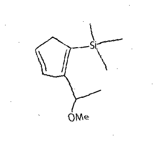 COC(C)C1=C([Si](C)(C)C)CC=C1